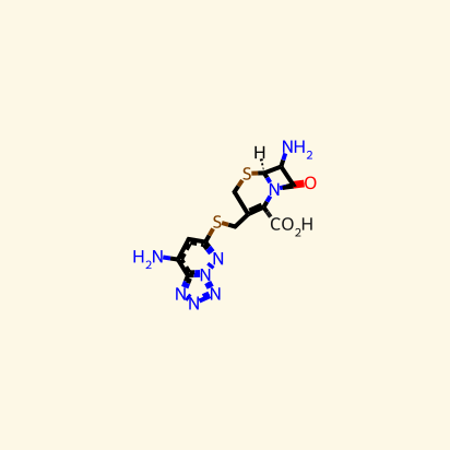 Nc1cc(SCC2=C(C(=O)O)N3C(=O)C(N)[C@@H]3SC2)nn2nnnc12